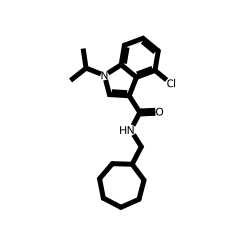 CC(C)n1cc(C(=O)NCC2CCCCCC2)c2c(Cl)cccc21